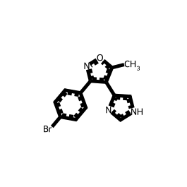 Cc1onc(-c2ccc(Br)cc2)c1-c1c[nH]cn1